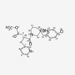 COC(=O)C[C@@H](Cc1cccnc1)C(=O)N1CCC[C@@](N)(Cc2ccc(Cl)cc2)C1